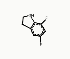 Fc1cc(F)c2c(c1)CCN2